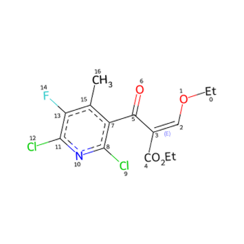 CCO/C=C(/C(=O)OCC)C(=O)c1c(Cl)nc(Cl)c(F)c1C